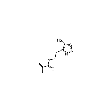 C=C(C)C(=O)NCCn1nnnc1S